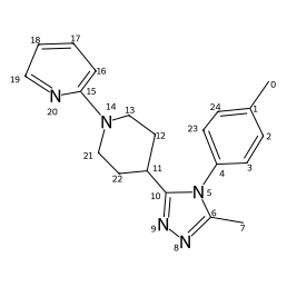 Cc1ccc(-n2c(C)nnc2C2CCN(c3ccccn3)CC2)cc1